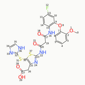 COc1ccccc1Oc1cc(F)ccc1NC(=O)CC(=O)Nc1nc(CC(=O)O)c(Sc2ncc[nH]2)s1